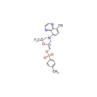 Cc1ccc(S(=O)(=O)OC[C@@H]2CN(c3ccc(C#N)c4nccnc34)C[C@H](C(F)(F)F)O2)cc1